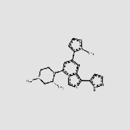 C[C@@H]1CN(C)CCN1c1cc(-c2ccnn2C)nc2c(-c3ccn[nH]3)ncn12